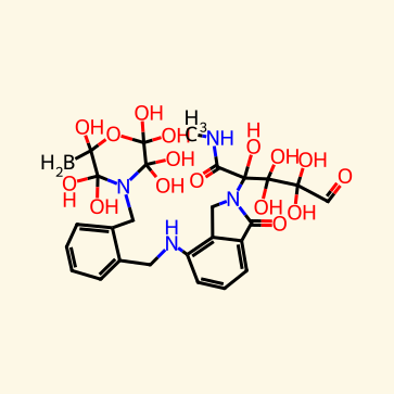 BC1(O)OC(O)(O)C(O)(O)N(Cc2ccccc2CNc2cccc3c2CN(C(O)(C(=O)NC)C(O)(O)C(O)(O)C=O)C3=O)C1(O)O